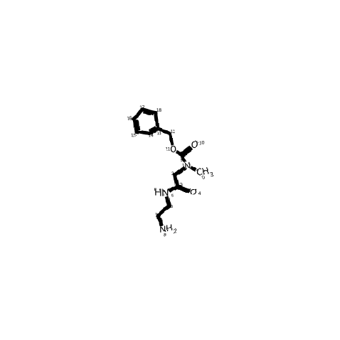 CN(CC(=O)NCCN)C(=O)OCc1ccccc1